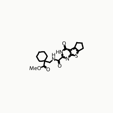 COC(=O)C1(CNC(=O)c2nc3sc4c(c3c(=O)[nH]2)CCC4)CCCCC1